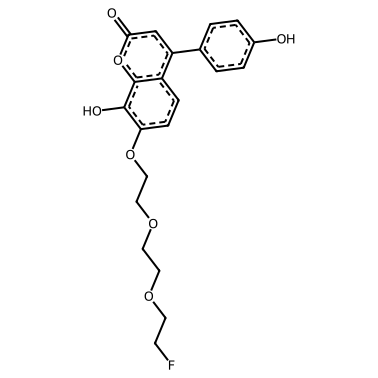 O=c1cc(-c2ccc(O)cc2)c2ccc(OCCOCCOCCF)c(O)c2o1